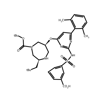 Cc1cccc(C)c1-c1cc(O[C@H]2CN[C@@H](CC(C)(C)C)CN(C(=O)OC(C)(C)C)C2)nc(NS(=O)(=O)c2cccc(C(=O)O)c2)n1